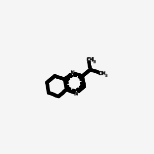 CC(C)c1cnc2c(n1)CCCC2